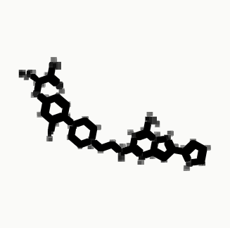 C[C@H](Oc1ccc(N2CCN(CCNc3nc(N)n4nc(-c5ccco5)cc4n3)CC2)c(F)c1)C(=O)O